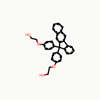 OCCOc1ccc(C2(c3ccc(OCCO)cc3)c3ccccc3-c3cc4ccccc4cc32)cc1